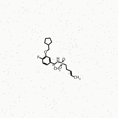 C/C=C/CCS(=O)(=O)N[C@H](C)c1ccc(F)c(OCC2CCCC2)c1